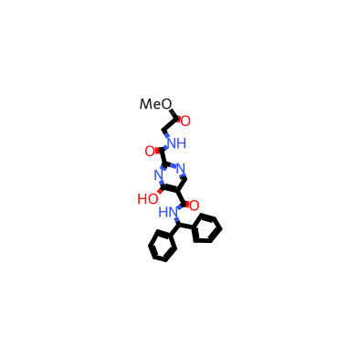 COC(=O)CNC(=O)c1ncc(C(=O)NC(c2ccccc2)c2ccccc2)c(O)n1